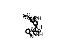 CC(C)(C)OC(=O)C(C)(C)N1Cc2cc(Nc3nn([C@H]4CCCC[C@@H]4C#N)c4cc[nH]c(=O)c34)ccc2S1(O)O